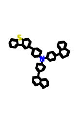 c1ccc2c(-c3ccc(N(c4ccc(-c5ccc6sc7ccccc7c6c5)cc4)c4ccc(-c5cccc6ccccc56)cc4)cc3)cccc2c1